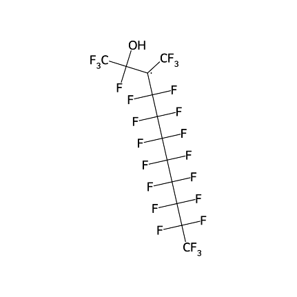 OC(F)([C](C(F)(F)F)C(F)(F)C(F)(F)C(F)(F)C(F)(F)C(F)(F)C(F)(F)C(F)(F)C(F)(F)F)C(F)(F)F